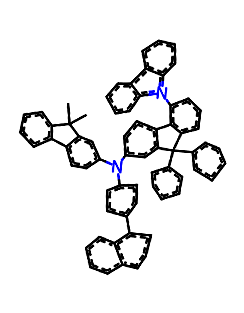 CC1(C)c2ccccc2-c2ccc(N(c3ccc(-c4cccc5ccccc45)cc3)c3ccc4c(c3)C(c3ccccc3)(c3ccccc3)c3cccc(-n5c6ccccc6c6ccccc65)c3-4)cc21